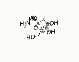 CC(N)=O.OC[C@H]1OC(O)C[C@@H](O)[C@@H]1O